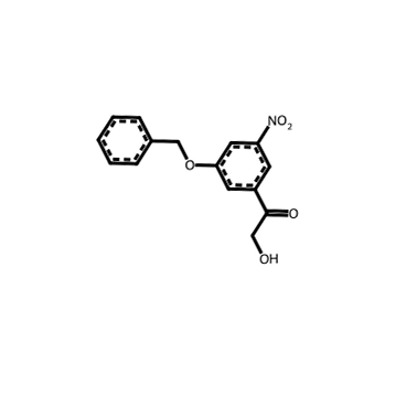 O=C(CO)c1cc(OCc2ccccc2)cc([N+](=O)[O-])c1